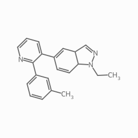 CCN1N=CC2C=C(c3cccnc3-c3cccc(C)c3)C=CC21